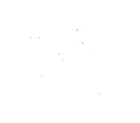 COc1ccc(OC)c([PH](OS(=O)(=O)Cc2ccccc2-c2ccccc2N)(C(C)(C)C)C(C)(C)C)c1-c1c(C(C)C)cc(C(C)C)cc1C(C)C